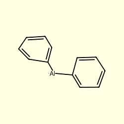 c1cc[c]([Al][c]2ccccc2)cc1